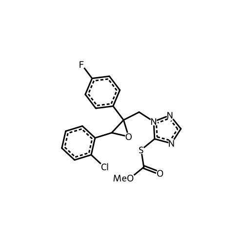 COC(=O)Sc1ncnn1CC1(c2ccc(F)cc2)OC1c1ccccc1Cl